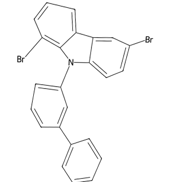 Brc1ccc2c(c1)c1cccc(Br)c1n2-c1cccc(-c2ccccc2)c1